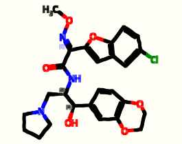 CO/N=C(/C(=O)N[C@H](CN1CCCC1)[C@H](O)c1ccc2c(c1)OCCO2)c1cc2cc(Cl)ccc2o1